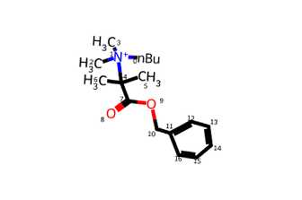 CCCC[N+](C)(C)C(C)(C)C(=O)OCc1ccccc1